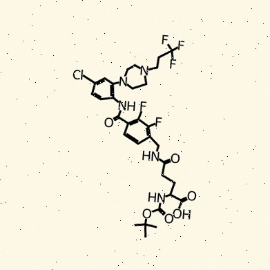 CC(C)(C)OC(=O)NC(CCC(=O)NCc1ccc(C(=O)Nc2ccc(Cl)cc2N2CCN(CCC(F)(F)F)CC2)c(F)c1F)C(=O)O